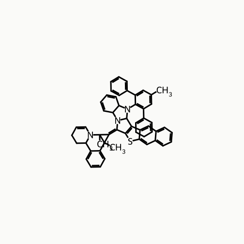 Cc1cc(C2=CCCC=C2)c(N2C3C=CC=CC3N3/C(=C4/C5(C)c6ccccc6C6CCC=CN6C45C)c4sc5cc6ccccc6cc5c4C32)c(-c2ccccc2)c1